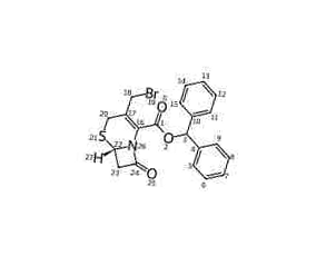 O=C(OC(c1ccccc1)c1ccccc1)C1=C(CBr)CS[C@H]2CC(=O)N12